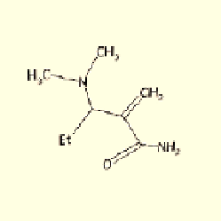 C=C(C(N)=O)C(CC)N(C)C